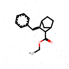 CCOC(=O)C1C(=Cc2ccccc2)C2CCC1C2